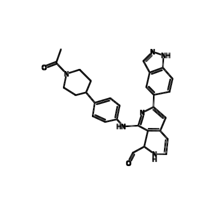 CC(=O)N1CCC(c2ccc(Nc3nc(-c4ccc5[nH]ncc5c4)cc4c3C(C=O)NC=C4)cc2)CC1